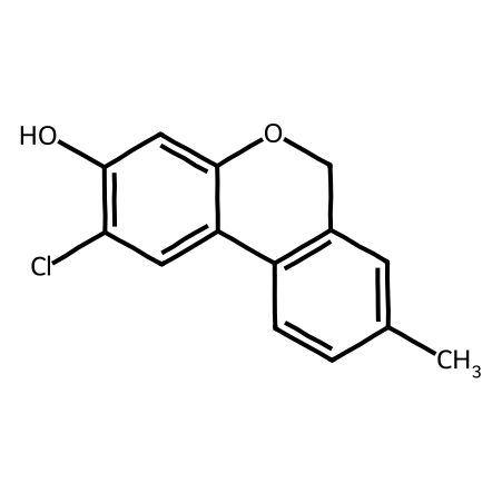 Cc1ccc2c(c1)COc1cc(O)c(Cl)cc1-2